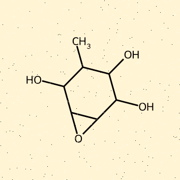 CC1C(O)C(O)C2OC2C1O